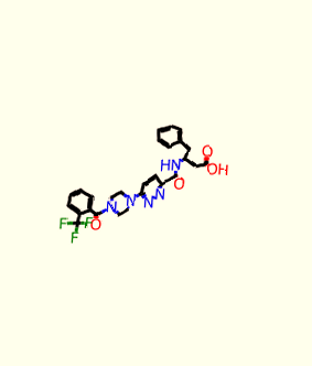 O=C(O)CC(Cc1ccccc1)NC(=O)c1ccc(N2CCN(C(=O)c3ccccc3C(F)(F)F)CC2)nn1